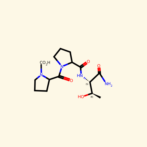 C[C@@H](O)[C@H](NC(=O)C1CCCN1C(=O)C1CCCN1C(=O)O)C(N)=O